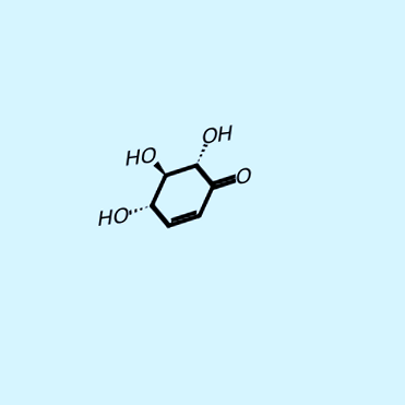 O=C1C=C[C@H](O)[C@@H](O)[C@@H]1O